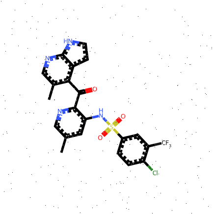 Cc1cnc(C(=O)c2c(C)cnc3[nH]ccc23)c(NS(=O)(=O)c2ccc(Cl)c(C(F)(F)F)c2)c1